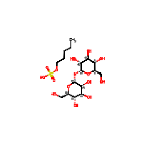 CCCCCOS(=O)(=O)O.OC[C@H]1O[C@H](O[C@H]2O[C@H](CO)[C@@H](O)[C@H](O)[C@H]2O)[C@H](O)[C@@H](O)[C@@H]1O